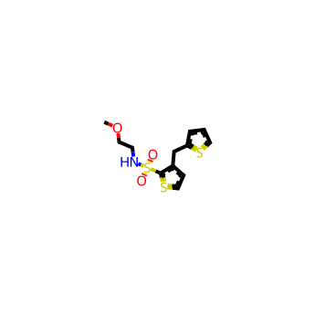 COCCNS(=O)(=O)c1sccc1Cc1cccs1